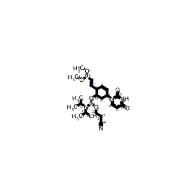 COP(/C=C/C1C=CC(n2ccc(=O)[nH]c2=O)CC1OP(OCCC#N)N(C(C)C)C(C)C)OC